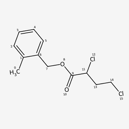 Cc1ccccc1COC(=O)C(Cl)CCCl